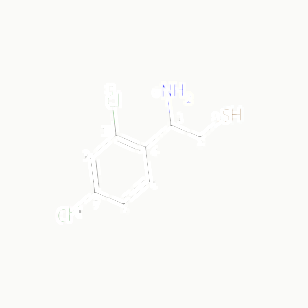 NC(CS)c1ccc(Cl)cc1Cl